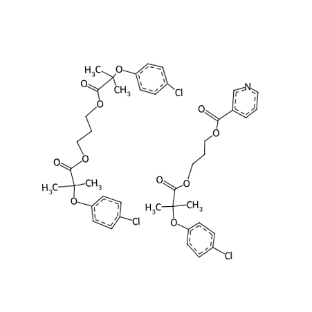 CC(C)(Oc1ccc(Cl)cc1)C(=O)OCCCOC(=O)C(C)(C)Oc1ccc(Cl)cc1.CC(C)(Oc1ccc(Cl)cc1)C(=O)OCCCOC(=O)c1cccnc1